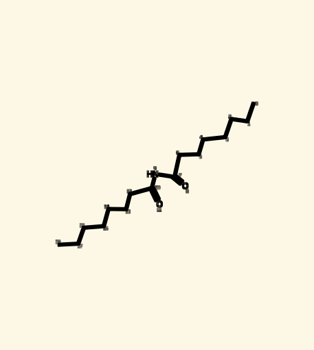 CCCCCCCC(=O)NC(=O)CCCCCCC